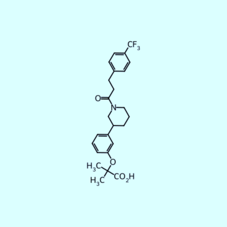 CC(C)(Oc1cccc(C2CCCN(C(=O)CCc3ccc(C(F)(F)F)cc3)C2)c1)C(=O)O